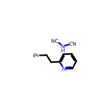 CC(C)CCc1ccccn1.N#CNC#N